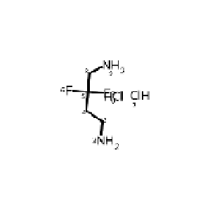 Cl.Cl.NCCC(F)(F)CN